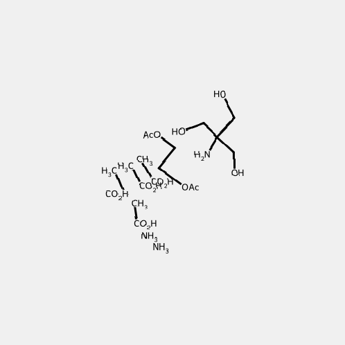 CC(=O)O.CC(=O)O.CC(=O)O.CC(=O)O.CC(=O)OCCOC(C)=O.N.N.NC(CO)(CO)CO